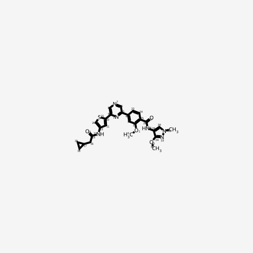 COc1cc(-c2cncc(-c3cc(NC(=O)CC4CC4)cs3)n2)ccc1C(=O)Nc1cn(C)nc1OC